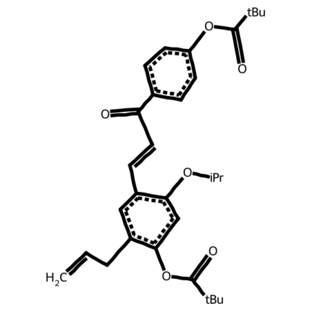 C=CCc1cc(/C=C/C(=O)c2ccc(OC(=O)C(C)(C)C)cc2)c(OC(C)C)cc1OC(=O)C(C)(C)C